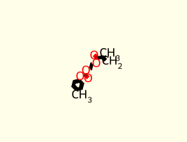 C=C(C)C(=O)OCCOC(=O)Oc1ccc(C)cc1